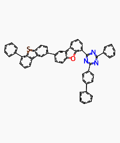 c1ccc(-c2ccc(-c3nc(-c4ccccc4)nc(-c4cccc5c4oc4ccc(-c6ccc7sc8c(-c9ccccc9)cccc8c7c6)cc45)n3)cc2)cc1